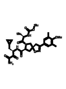 COc1c(C)cc(C2=NO[C@]3(C2)C[C@@H](C(=O)N[C@@H](CC2CC2)C(=O)C(N)=O)N(C(=O)[C@@H](NC(=O)OC(C)(C)C)C(C)(C)C)C3)cc1C